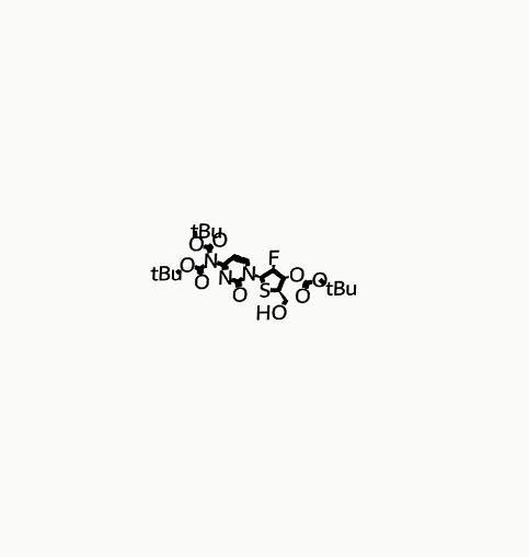 CC(C)(C)OC(=O)O[C@H]1[C@H](F)[C@H](n2ccc(N(C(=O)OC(C)(C)C)C(=O)OC(C)(C)C)nc2=O)S[C@@H]1CO